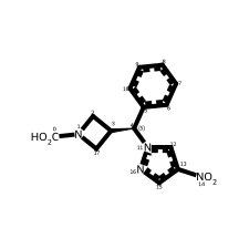 O=C(O)N1CC([C@@H](c2ccccc2)n2cc([N+](=O)[O-])cn2)C1